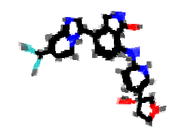 O=C1NCc2c(-c3cnc4cc(C(F)F)ccn34)ccc(Nc3ccc([C@]4(O)CCOC4)cn3)c21